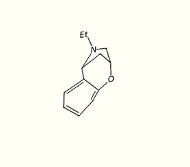 CCN1CC2CC1c1ccccc1O2